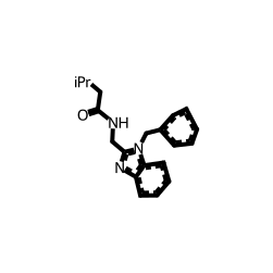 CC(C)CC(=O)NCc1nc2ccccc2n1Cc1ccccc1